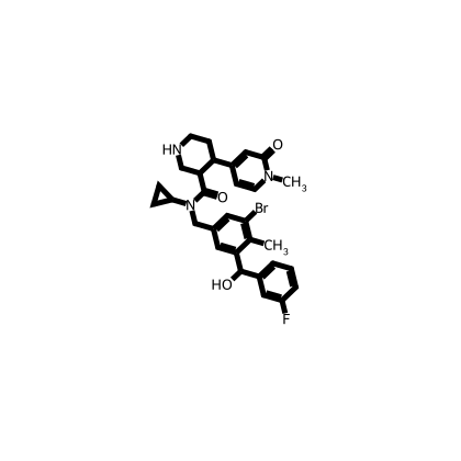 Cc1c(Br)cc(CN(C(=O)C2CNCCC2c2ccn(C)c(=O)c2)C2CC2)cc1C(O)c1cccc(F)c1